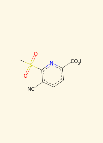 CS(=O)(=O)c1nc(C(=O)O)ccc1C#N